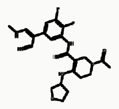 CN/C=C(\C=N)c1cc(F)c(F)c(NC(=N)C2=C(NC3CCOC3)CCN(C(C)=O)C2)c1